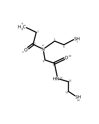 CCC(=O)N(CCS)CC(=O)NCCS